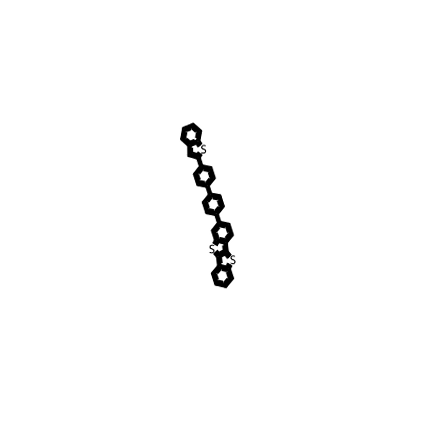 c1ccc2sc(-c3ccc(-c4ccc(-c5ccc6c(c5)sc5c7ccccc7sc65)cc4)cc3)cc2c1